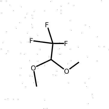 COC(OC)C(F)(F)F